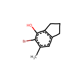 Cc1cc2c(c(O)c1Br)CCC2